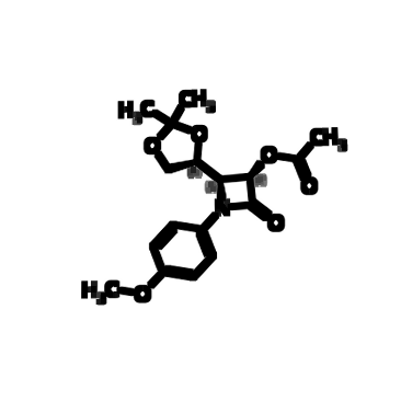 COc1ccc(N2C(=O)[C@H](OC(C)=O)[C@@H]2[C@H]2COC(C)(C)O2)cc1